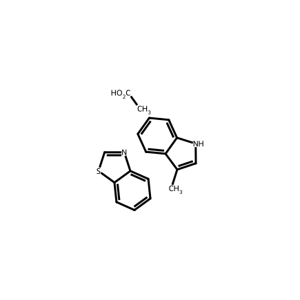 CC(=O)O.Cc1c[nH]c2ccccc12.c1ccc2scnc2c1